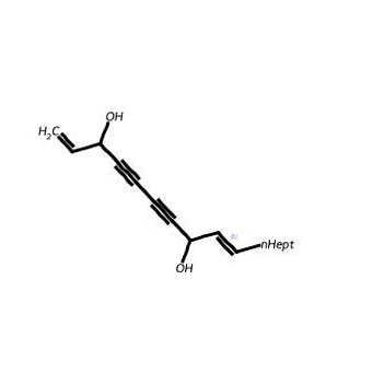 C=CC(O)C#CC#CC(O)/C=C/CCCCCCC